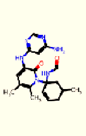 Cc1cc(Nc2cc(N)ncn2)c(=O)n(C2(NC=O)C=CCC(C)C2)c1C